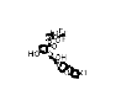 C[C@@]1(OC(=O)C(F)(F)F)CON(C(=O)c2ccc(O)cc2OC[C@H](O)CN2CCC3(CC2)Cc2cc(Cl)ccc2O3)C1